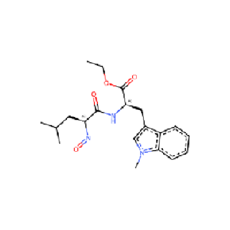 CCOC(=O)[C@@H](Cc1cn(C)c2ccccc12)NC(=O)[C@H](CC(C)C)N=O